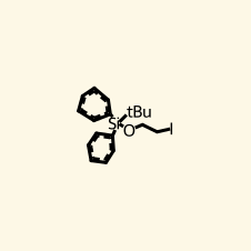 CC(C)(C)[Si](OCCI)(c1ccccc1)c1ccccc1